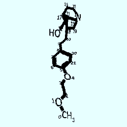 COCCOc1ccc(CCC2(O)CN3CCC2CC3)cc1